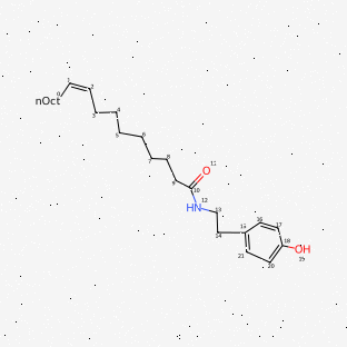 CCCCCCCC/C=C\CCCCCCCC(=O)NCCc1ccc(O)cc1